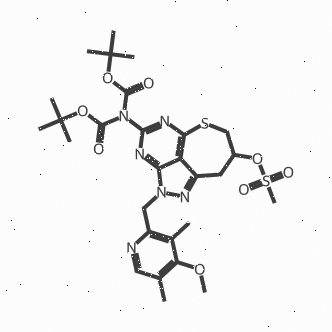 COc1c(C)cnc(Cn2nc3c4c(nc(N(C(=O)OC(C)(C)C)C(=O)OC(C)(C)C)nc42)SCC(OS(C)(=O)=O)C3)c1C